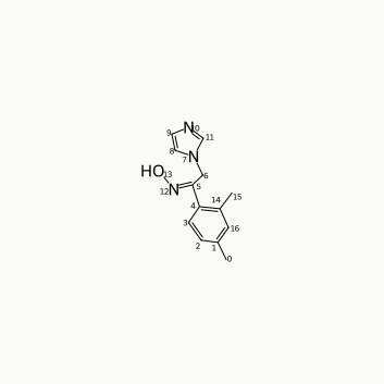 Cc1ccc(/C(Cn2ccnc2)=N/O)c(C)c1